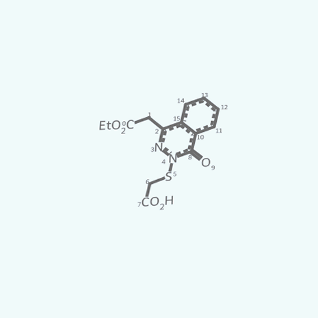 CCOC(=O)Cc1nn(SCC(=O)O)c(=O)c2ccccc12